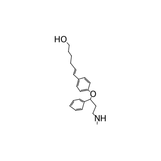 CNCCC(Oc1ccc(C=CCCCCO)cc1)c1ccccc1